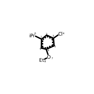 [CH2]C(C)c1cc(Cl)cc(OCC)c1